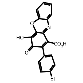 CCc1ccc(-c2c(C(=O)O)c3nc4ccccc4oc-3c(O)c2=O)cc1